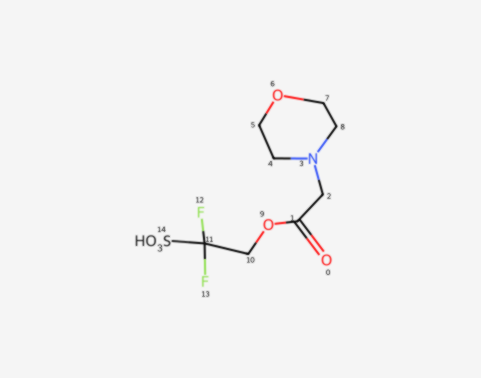 O=C(CN1CCOCC1)OCC(F)(F)S(=O)(=O)O